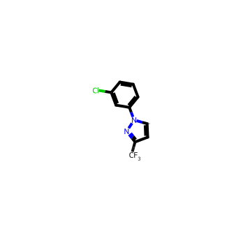 FC(F)(F)c1c[c]n(-c2cccc(Cl)c2)n1